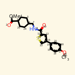 COC(=O)C1CCC(CNC(=O)c2cc(-c3ccc(OC(F)(F)F)cc3)cs2)CC1